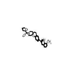 Cc1cccc2cc(-c3ccc4c(c3)CCC3(CCN(C(=O)C5CCCO5)CC3)O4)cnc12